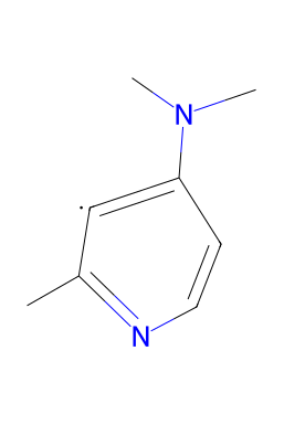 Cc1[c]c(N(C)C)ccn1